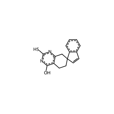 Oc1nc(S)nc2c1CCC1(C=Cc3ccccc31)C2